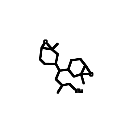 CC(CC(C1CCC2OC2(C)C1)C1CCC2OC2(C)C1)CC(C)(C)C